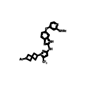 CC(=O)Nc1cc(Oc2ccc3nc(Nc4cc(C(F)(F)F)n(C5CC6(C5)CN(C(C)=O)C6)n4)[nH]c3c2)ccn1